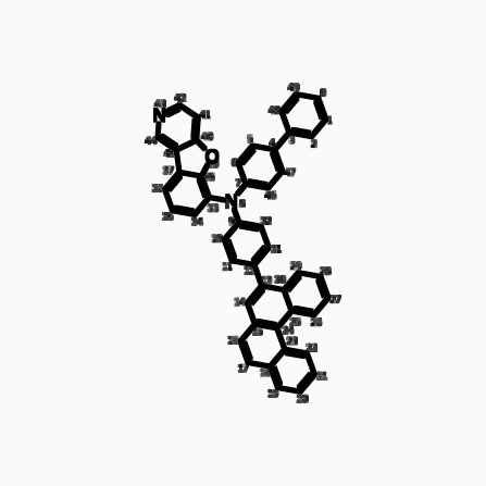 c1ccc(-c2ccc(N(c3ccc(-c4cc5ccc6ccccc6c5c5ccccc45)cc3)c3cccc4c3oc3ccncc34)cc2)cc1